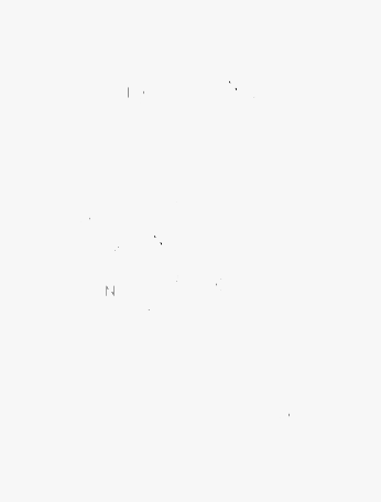 CC1(c2ccc(O)cc2)NC(=O)N(c2ccc(N)c(C(F)(F)F)c2)C1=O